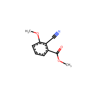 COC(=O)c1cccc(OC)c1C#N